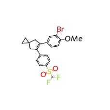 COc1ccc(C2=C(c3ccc(S(=O)(=O)C(F)F)cc3)CC3(CC3)C2)cc1Br